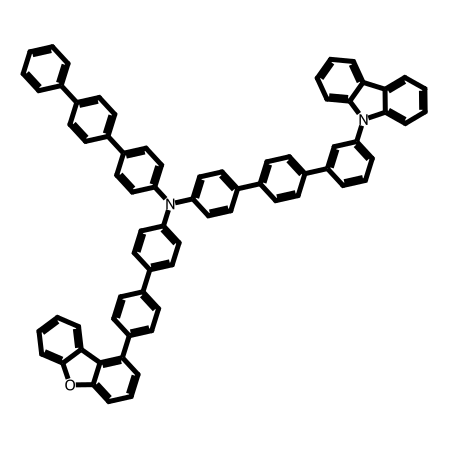 c1ccc(-c2ccc(-c3ccc(N(c4ccc(-c5ccc(-c6cccc(-n7c8ccccc8c8ccccc87)c6)cc5)cc4)c4ccc(-c5ccc(-c6cccc7oc8ccccc8c67)cc5)cc4)cc3)cc2)cc1